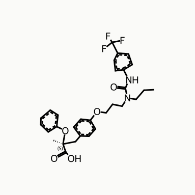 CCCN(CCCOc1ccc(C[C@](C)(Oc2ccccc2)C(=O)O)cc1)C(=O)Nc1ccc(C(F)(F)F)cc1